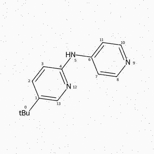 CC(C)(C)c1ccc(Nc2ccncc2)nc1